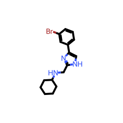 Brc1cccc(-c2c[nH]c(CNC3CCCCC3)n2)c1